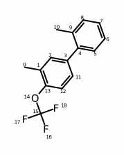 Cc1cc(-c2ccccc2C)ccc1OC(F)(F)F